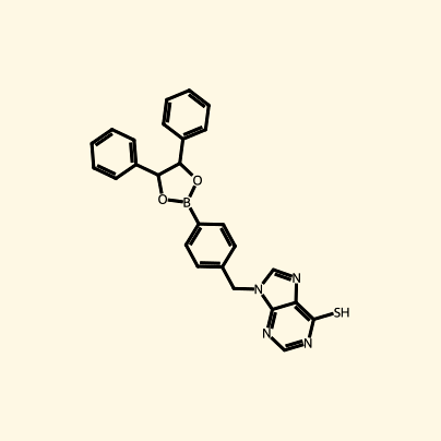 Sc1ncnc2c1ncn2Cc1ccc(B2OC(c3ccccc3)C(c3ccccc3)O2)cc1